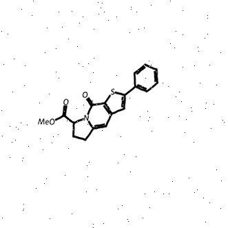 COC(=O)C1CCc2cc3cc(-c4ccccc4)sc3c(=O)n21